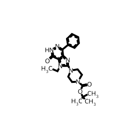 CCn1c(N2CCN(C(=O)OC(C)(C)C)CC2)nc2c(-c3ccccc3)n[nH]c(=O)c21